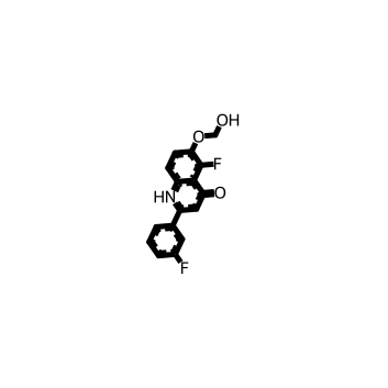 O=c1cc(-c2cccc(F)c2)[nH]c2ccc(OCO)c(F)c12